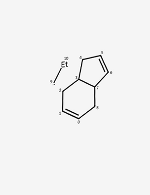 C1=CCC2CC=CC2C1.[CH]CC